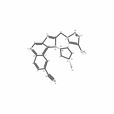 Cc1cn(Cc2nc3cnc4ccc(C#N)cc4c3n2[C@@H]2CC[C@H](F)C2)nn1